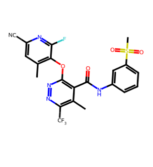 Cc1cc(C#N)nc(F)c1Oc1nnc(C(F)(F)F)c(C)c1C(=O)Nc1cccc(S(C)(=O)=O)c1